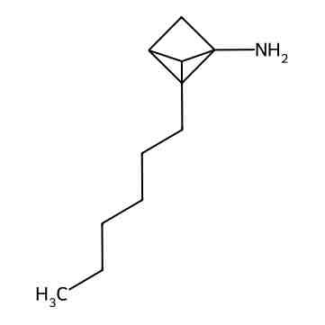 CCCCCCC1C2CC1(N)C2